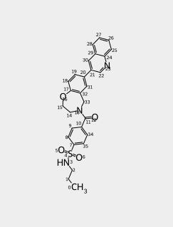 CCCNS(=O)(=O)c1ccc(C(=O)N2CCOc3ccc(-c4cnc5ccccc5c4)cc3C2)cc1